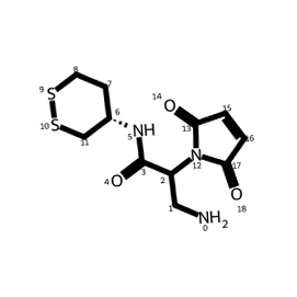 NCC(C(=O)N[C@H]1CCSSC1)N1C(=O)C=CC1=O